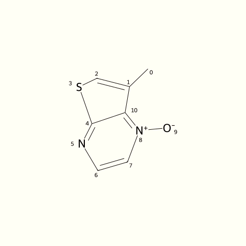 Cc1csc2ncc[n+]([O-])c12